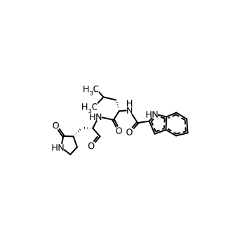 CC(C)C[C@H](NC(=O)c1cc2ccccc2[nH]1)C(=O)N[C@H](C=O)C[C@@H]1CCNC1=O